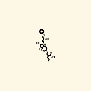 CCCC(CC[C@@H]1CC[C@@H]2[C@@H](C=C[C@@H](O)COc3ccccc3)[C@H](O)C[C@@H]2OC1)C(=O)O